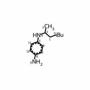 CCC(C)CC(C)Nc1ccc(N)cc1